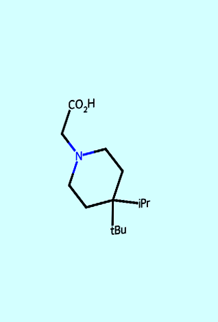 CC(C)C1(C(C)(C)C)CCN(CC(=O)O)CC1